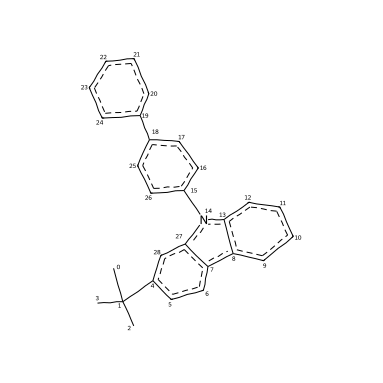 CC(C)(C)c1ccc2c3ccccc3n(-c3ccc(-c4ccccc4)cc3)c2c1